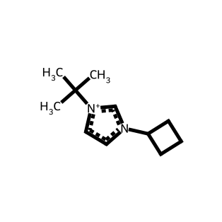 CC(C)(C)[n+]1ccn(C2CCC2)c1